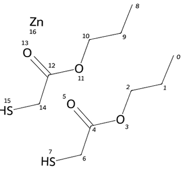 CCCOC(=O)CS.CCCOC(=O)CS.[Zn]